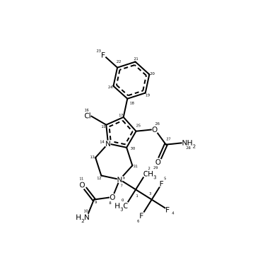 CC(C)(C(F)(F)F)[N+]1(OC(N)=O)CCn2c(Cl)c(-c3cccc(F)c3)c(OC(N)=O)c2C1